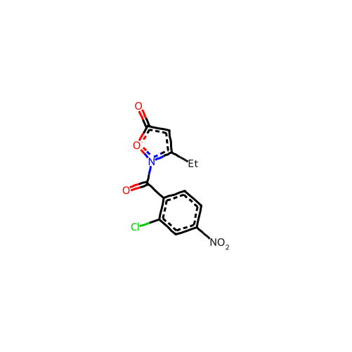 CCc1cc(=O)on1C(=O)c1ccc([N+](=O)[O-])cc1Cl